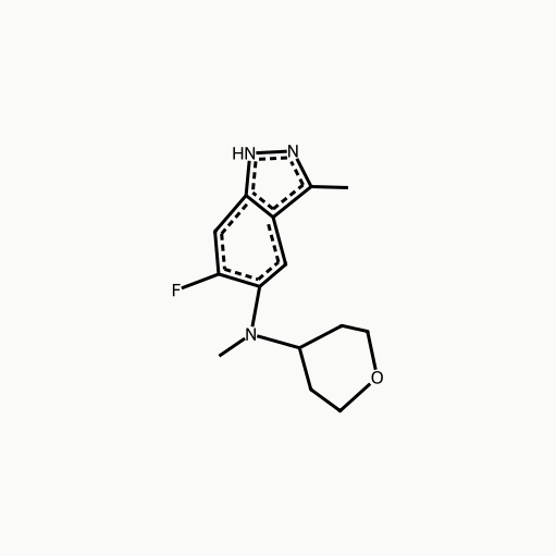 Cc1n[nH]c2cc(F)c(N(C)C3CCOCC3)cc12